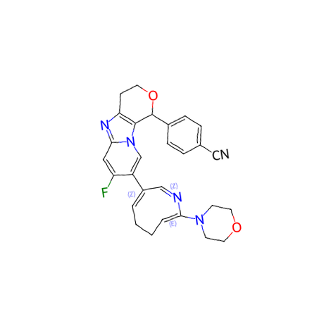 N#Cc1ccc(C2OCCc3nc4cc(F)c(C5=C/CC/C=C(N6CCOCC6)/N=C\5)cn4c32)cc1